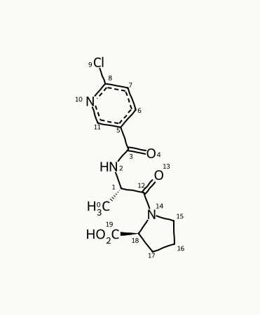 C[C@H](NC(=O)c1ccc(Cl)nc1)C(=O)N1CCC[C@H]1C(=O)O